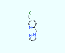 ClCc1ccc(Cn2cccn2)nc1